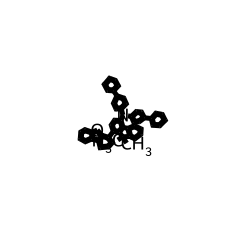 CC1(C)c2ccccc2-c2c(N(c3ccc(-c4ccccc4)cc3)c3ccc(-c4ccccc4)cc3)ccc(-c3cccc4c3oc3ccccc34)c21